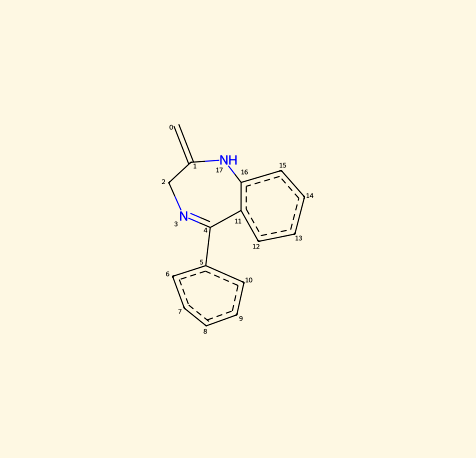 C=C1CN=C(c2ccccc2)c2ccccc2N1